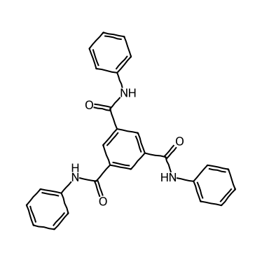 O=C(Nc1ccccc1)c1cc(C(=O)Nc2ccccc2)cc(C(=O)Nc2ccccc2)c1